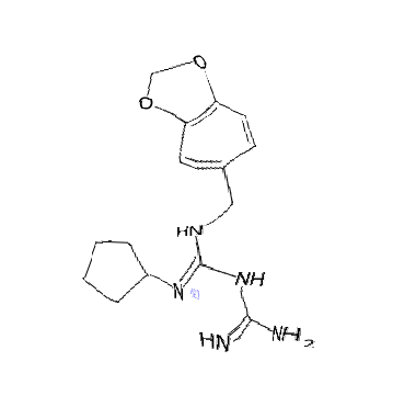 N=C(N)N/C(=N/C1CCCC1)NCc1ccc2c(c1)OCO2